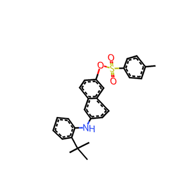 Cc1ccc(S(=O)(=O)Oc2ccc3cc(Nc4ccccc4C(C)(C)C)ccc3c2)cc1